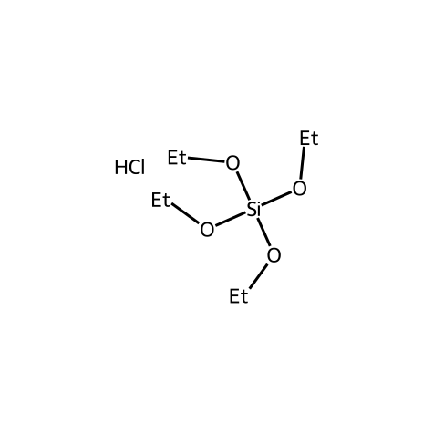 CCO[Si](OCC)(OCC)OCC.Cl